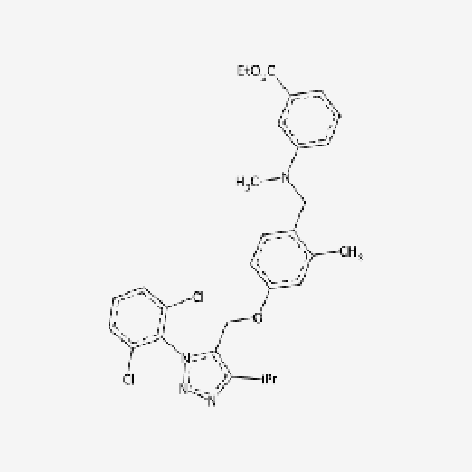 CCOC(=O)c1cccc(N(C)Cc2ccc(OCc3c(C(C)C)nnn3-c3c(Cl)cccc3Cl)cc2C)c1